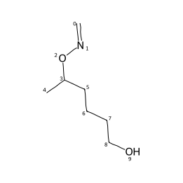 C=NOC(C)CCCCO